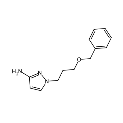 Nc1ccn(CCCOCc2ccccc2)n1